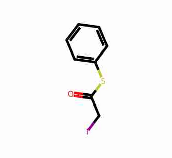 O=C(CI)Sc1ccccc1